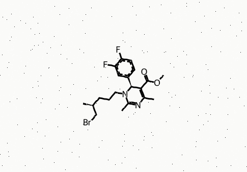 COC(=O)C1=C(C)N=C(C)N(CCC[C@H](C)CBr)[C@H]1c1ccc(F)c(F)c1